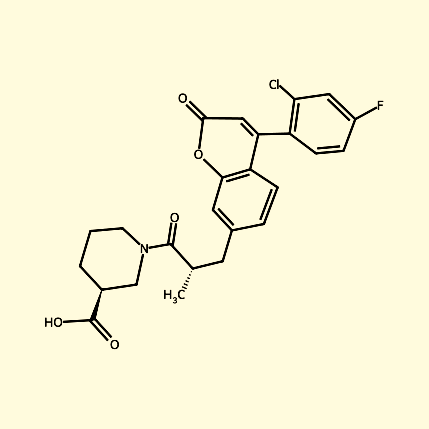 C[C@@H](Cc1ccc2c(-c3ccc(F)cc3Cl)cc(=O)oc2c1)C(=O)N1CCC[C@H](C(=O)O)C1